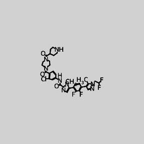 Cc1c(-c2ccc(-c3cnc(C(=O)Nc4ccc(C(=O)N5CCN(C(=O)C6CCNCC6)CC5)c(Cl)c4)n3C)c(F)c2F)cnn1CC(F)F